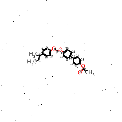 CCC(C)c1ccc(OCOc2ccc(-c3ccc(OC(C)=O)cc3)cc2)cc1